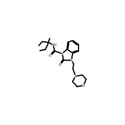 CCC(C)(CC)NC(=O)n1c(=O)n(CCN2CCOCC2)c2ccccc21